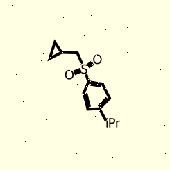 CC(C)c1ccc(S(=O)(=O)CC2CC2)cc1